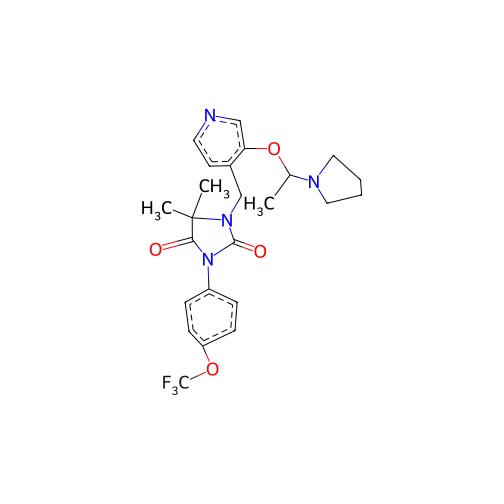 CC(Oc1cnccc1CN1C(=O)N(c2ccc(OC(F)(F)F)cc2)C(=O)C1(C)C)N1CCCC1